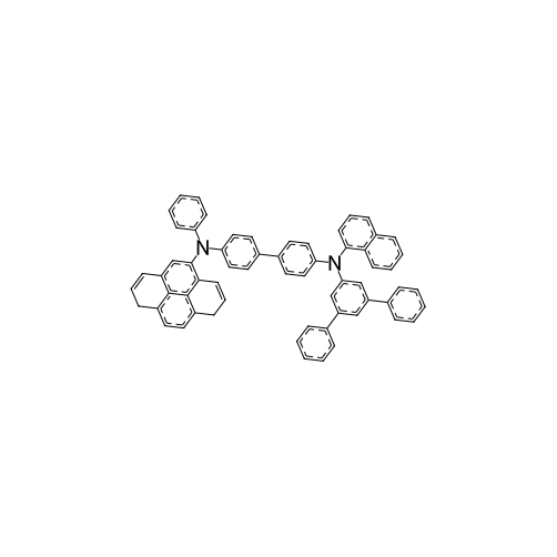 C1=Cc2cc(N(c3ccccc3)c3ccc(-c4ccc(N(c5cc(-c6ccccc6)cc(-c6ccccc6)c5)c5cccc6ccccc56)cc4)cc3)c3c4c(ccc(c24)C1)CC=C3